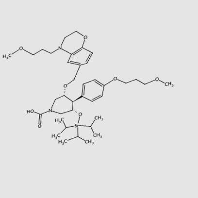 COCCCOc1ccc([C@@H]2[C@@H](OCc3ccc4c(c3)N(CCCOC)CCO4)CN(C(=O)O)C[C@H]2O[Si](C(C)C)(C(C)C)C(C)C)cc1